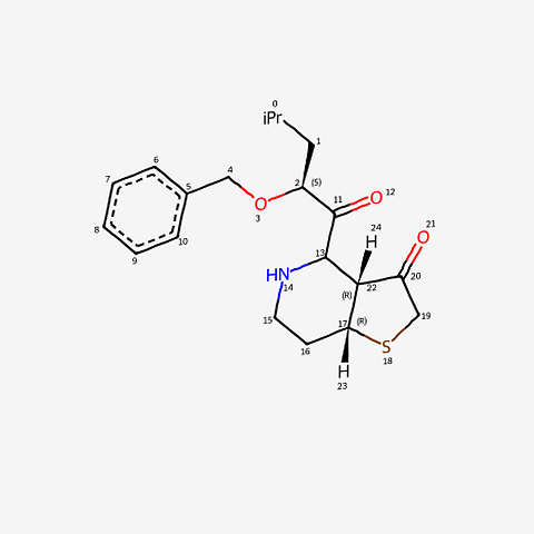 CC(C)C[C@H](OCc1ccccc1)C(=O)C1NCC[C@H]2SCC(=O)[C@@H]12